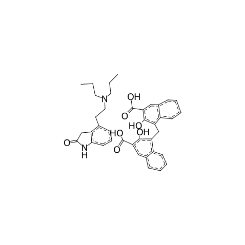 CCCN(CCC)CCc1cccc2c1CC(=O)N2.O=C(O)c1cc2ccccc2c(Cc2c(O)c(C(=O)O)cc3ccccc23)c1O